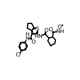 CONC(=O)C1CCCCC1C(=O)Nc1sc2c(c1C(=O)Nc1ccc(Cl)cc1)CCC2